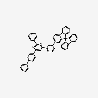 c1ccc(-c2ccc(-c3cc(-c4cccc(-c5ccc6c(c5)C5(c7ccccc7-c7ccccc75)c5ccccc5-6)c4)nc(-c4ccccc4)n3)cn2)cc1